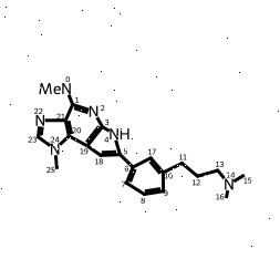 CNc1nc2[nH]c(-c3cccc(C[CH]CN(C)C)c3)cc2c2c1ncn2C